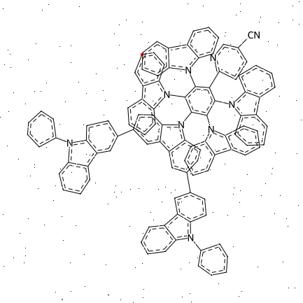 N#Cc1ccc(-c2c(-n3c4ccccc4c4ccccc43)c(-n3c4ccccc4c4ccccc43)c(-n3c4ccc(-c5ccc6c(c5)c5ccccc5n6-c5ccccc5)cc4c4cc(-c5ccc6c(c5)c5ccccc5n6-c5ccccc5)ccc43)c(-n3c4ccccc4c4ccccc43)c2-n2c3ccccc3c3ccccc32)nc1